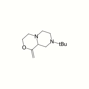 C=C1OCCN2CCN(C(C)(C)C)CC12